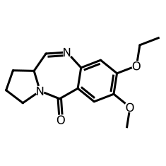 CCOc1cc2c(cc1OC)C(=O)N1CCCC1C=N2